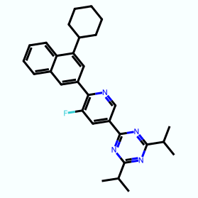 CC(C)c1nc(-c2cnc(-c3cc(C4CCCCC4)c4ccccc4c3)c(F)c2)nc(C(C)C)n1